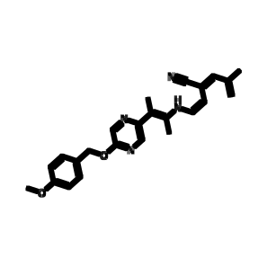 C=C(C)/C=C(C#N)\C=C/N/C(C)=C(\C)c1cnc(OCc2ccc(OC)cc2)cn1